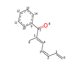 C=C/C=C\C=C(/C)C(=O)c1ccccc1